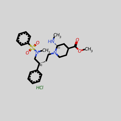 CN[C@@H]1CC(C(=O)OC)CCN1CC[C@@H](CN(C)S(=O)(=O)c1ccccc1)c1ccccc1.Cl